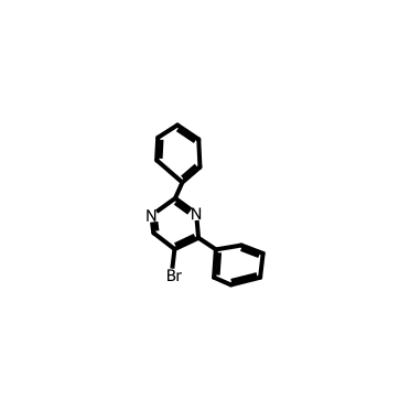 Brc1cnc(-c2ccccc2)nc1-c1ccccc1